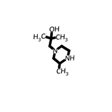 CC1CN(CC(C)(C)O)CCN1